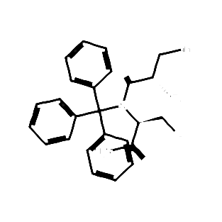 CC(C)C[C@H](N)C(=O)N([C@@H](CS)C(N)=O)C(c1ccccc1)(c1ccccc1)c1ccccc1